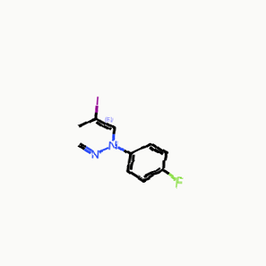 C=NN(/C=C(\C)I)c1ccc(F)cc1